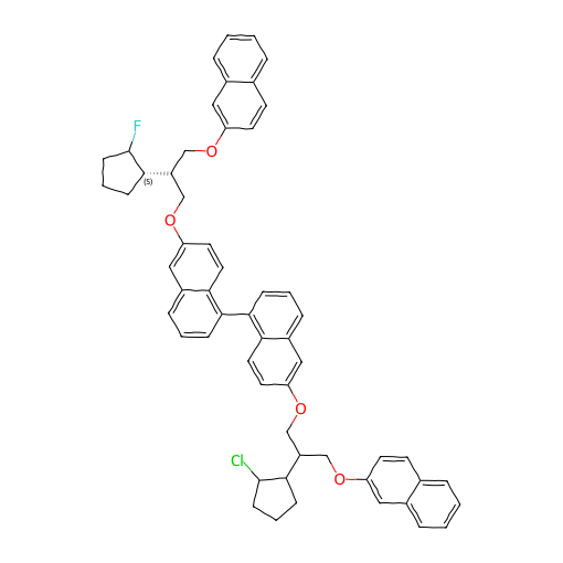 FC1CCC[C@H]1C(COc1ccc2ccccc2c1)COc1ccc2c(-c3cccc4cc(OCC(COc5ccc6ccccc6c5)C5CCCC5Cl)ccc34)cccc2c1